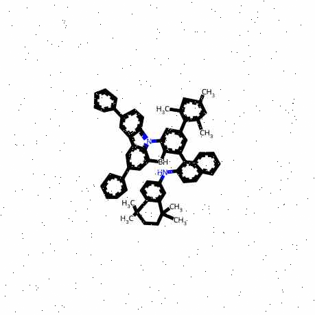 Cc1cc(C)c(-c2cc(-c3c(Nc4ccc5c(c4)C(C)(C)CCC5(C)C)ccc4ccccc34)c3c(c2)-n2c4ccc(-c5ccccc5)cc4c4cc(-c5ccccc5)cc(c42)B3)c(C)c1